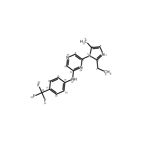 CCc1ncc(C)n1-c1cncc(Nc2ccc(C(F)(F)F)cc2)n1